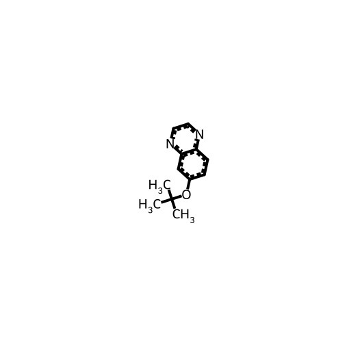 CC(C)(C)Oc1ccc2nccnc2c1